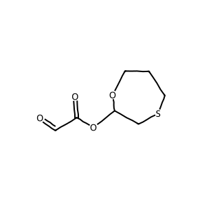 O=CC(=O)OC1CSCCCO1